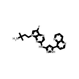 CC(C)(N)CCn1cc(F)c2ncc(Nc3cc(-c4ccnc5cccnc45)[nH]n3)nc21